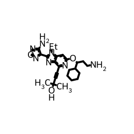 CCn1c(-c2nonc2N)nc2c(C#CC(C)(C)O)nc(OC(CCN)C3CCCCC3)cc21